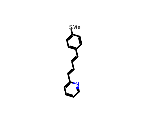 CSc1ccc(/C=C/C=C/c2ccccn2)cc1